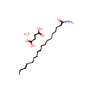 CCCCCCCCCCCCCCCCCC(N)=O.O=C(O)CCC(=O)O.S